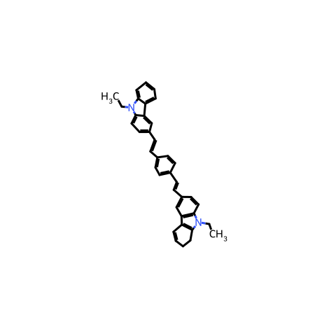 CCn1c2c(c3cc(/C=C/c4ccc(/C=C/c5ccc6c(c5)c5ccccc5n6CC)cc4)ccc31)C=CCC2